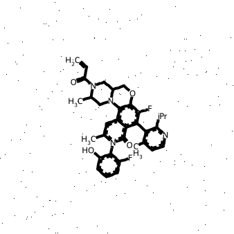 C=CC(=O)N1CC2COc3c(F)c(-c4c(C)ccnc4C(C)C)c4c(=O)n(-c5c(O)cccc5F)c(C)cc4c3N2CC1C